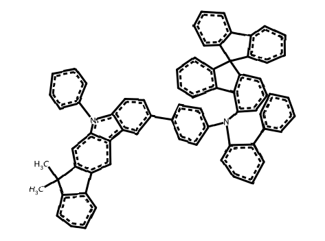 CC1(C)c2ccccc2-c2cc3c4cc(-c5ccc(N(c6ccccc6-c6ccccc6)c6cccc7c6-c6ccccc6C76c7ccccc7-c7ccccc76)cc5)ccc4n(-c4ccccc4)c3cc21